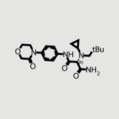 CC(C)(C)CN(C1CC1)[C@H](C(N)=O)C(=O)Nc1ccc(N2CCOCC2=O)cc1